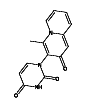 Cc1c(-n2ccc(=O)[nH]c2=O)c(=O)cc2ccccn12